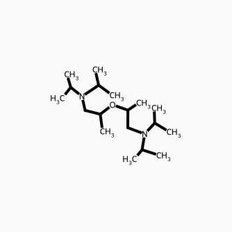 CC(CN(C(C)C)C(C)C)OC(C)CN(C(C)C)C(C)C